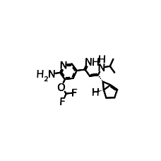 CC(C)N/C(=C\C(=N)c1cnc(N)c(OC(F)F)c1)[C@@H]1C2=CCC[C@H]21